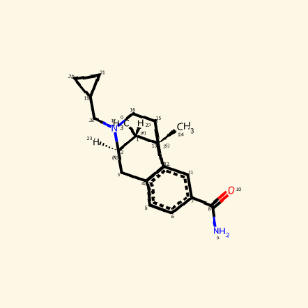 C[C@H]1[C@H]2Cc3ccc(C(N)=O)cc3[C@@]1(C)CCN2CC1CC1